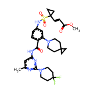 COC(=O)/C=C/C1(S(=O)(=O)Nc2ccc(C(=O)Nc3cc(C)nc(N4CCC(F)(F)CC4)n3)c(N3CCC4(CC3)CC4)c2)CC1